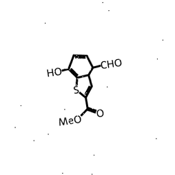 COC(=O)C1=CC2C(=C(O)C=CC2C=O)S1